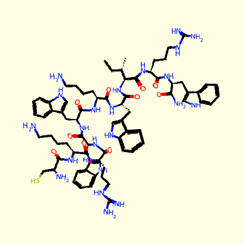 CC[C@H](C)[C@H](NC(=O)[C@H](Cc1c[nH]c2ccccc12)NC(=O)[C@H](CCCCN)NC(=O)[C@H](Cc1c[nH]c2ccccc12)NC(=O)[C@H](Cc1c[nH]c2ccccc12)NC(=O)[C@H](CCCNC(=N)N)NC(=O)[C@H](CCCCN)NC(=O)[C@@H](N)CS)C(=O)N[C@@H](CCCNC(=N)N)C(=O)N[C@@H](Cc1c[nH]c2ccccc12)C(N)=O